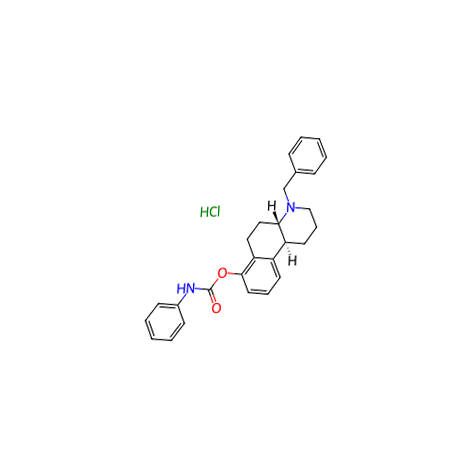 Cl.O=C(Nc1ccccc1)Oc1cccc2c1CC[C@H]1[C@H]2CCCN1Cc1ccccc1